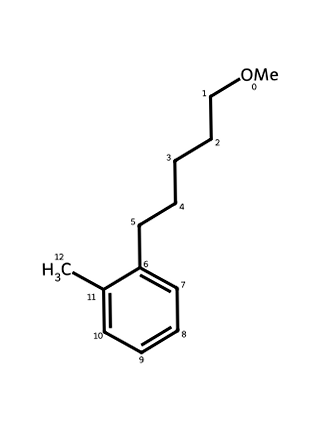 COCCCCCc1ccccc1C